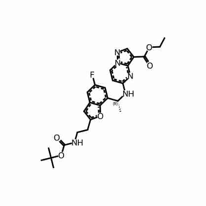 CCOC(=O)c1cnn2ccc(N[C@H](C)c3cc(F)cc4cc(CCNC(=O)OC(C)(C)C)oc34)nc12